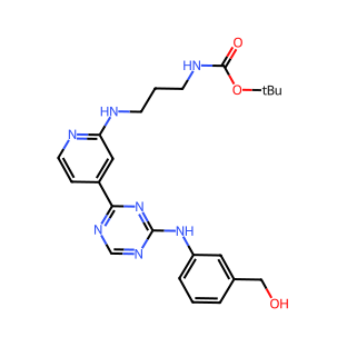 CC(C)(C)OC(=O)NCCCNc1cc(-c2ncnc(Nc3cccc(CO)c3)n2)ccn1